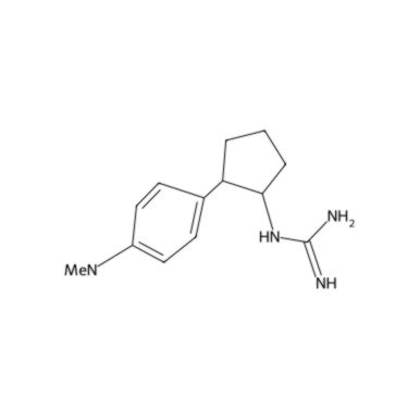 CNc1ccc(C2CCCC2NC(=N)N)cc1